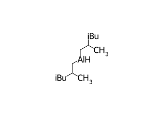 CCC(C)C(C)[CH2][AlH][CH2]C(C)C(C)CC